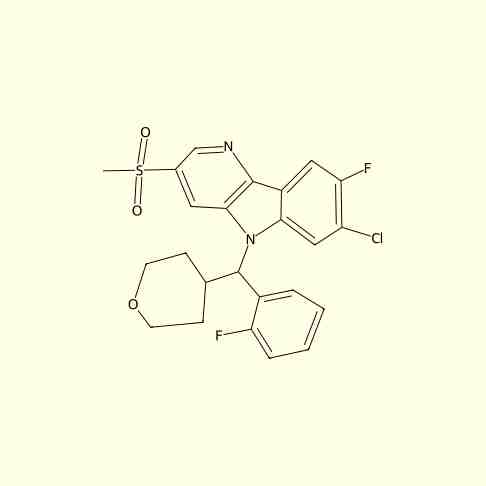 CS(=O)(=O)c1cnc2c3cc(F)c(Cl)cc3n(C(c3ccccc3F)C3CCOCC3)c2c1